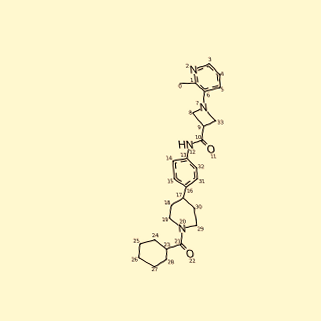 Cc1ncccc1N1CC(C(=O)Nc2ccc(C3CCN(C(=O)C4CCCCC4)CC3)cc2)C1